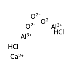 Cl.Cl.[Al+3].[Al+3].[Ca+2].[O-2].[O-2].[O-2]